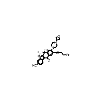 CC(C)CCC#Cc1cc2c(cc1N1CCN(C3COC3)CC1)C(C)(C)c1[nH]c3cc(C#N)ccc3c1C2=O